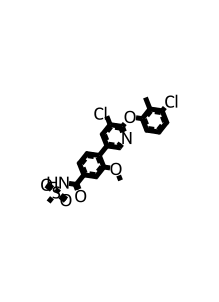 COc1cc(C(=O)NS(C)(=O)=O)ccc1-c1cnc(Oc2cccc(Cl)c2C)c(Cl)c1